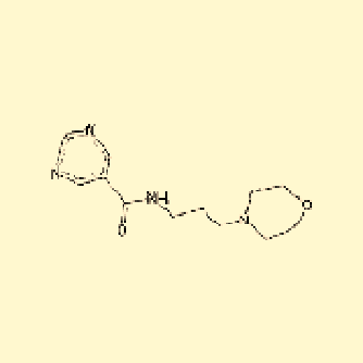 O=C(NCCCN1CCOCC1)c1cncnc1